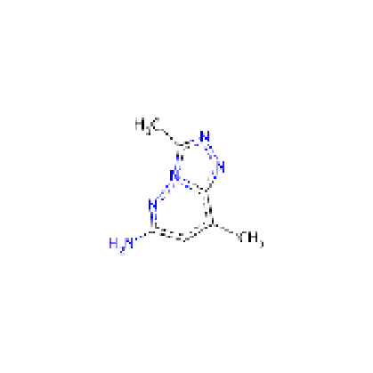 Cc1cc(N)nn2c(C)nnc12